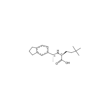 C[C@@H](N[C@@H](CCC(C)(C)C)C(=O)O)c1ccc2c(c1)CCC2